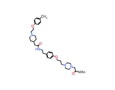 CNC(=O)CN1CCN(CCCOc2ccc(CCNC(=O)CC3CCN(CCOc4ccc(C)cc4)CC3)cc2)CC1